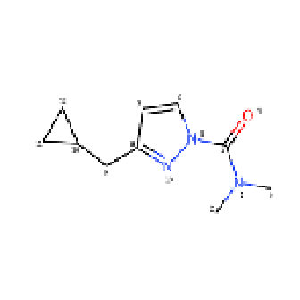 CN(C)C(=O)n1ccc(CC2CC2)n1